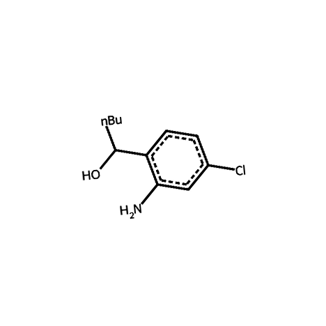 CCCCC(O)c1ccc(Cl)cc1N